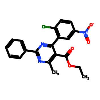 CCOC(=O)c1c(C)nc(-c2ccccc2)nc1-c1cc([N+](=O)[O-])ccc1Cl